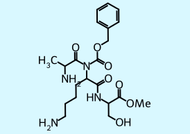 COC(=O)C(CO)NC(=O)C(CCCCN)N(C(=O)OCc1ccccc1)C(=O)C(C)N